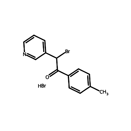 Br.Cc1ccc(C(=O)C(Br)c2cccnc2)cc1